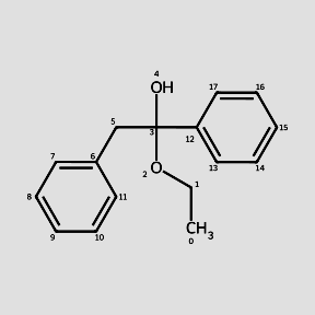 CCOC(O)(Cc1ccccc1)c1ccccc1